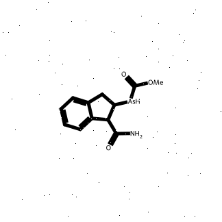 COC(=O)[AsH]C1Cc2c[c]ccc2C1C(N)=O